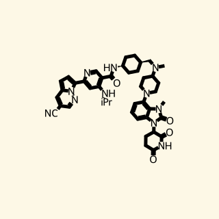 CC(C)Nc1cc(-c2ccc3cc(C#N)cnn23)ncc1C(=O)N[C@H]1CC[C@H](CN(C)C2CCN(c3cccc4c3n(C)c(=O)n4C3CCC(=O)NC3=O)CC2)CC1